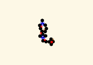 c1ccc(-c2nc(-c3ccccc3)nc(-c3cccc4c3oc3cc(-c5cc(-c6cccc7c6sc6ccccc67)c6c(c5)oc5ccc(-c7ccccc7-c7nc(-c8ccccc8)nc(-c8cccc9c8oc8cc(-c%10cc(-c%11cccc%12sc%13ccccc%13c%11%12)c%11oc%12ccccc%12c%11c%10)ccc89)n7)cc56)ccc34)n2)cc1